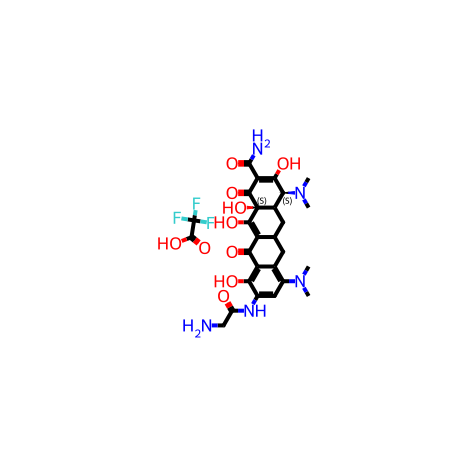 CN(C)c1cc(NC(=O)CN)c(O)c2c1CC1CC3[C@H](N(C)C)C(O)=C(C(N)=O)C(=O)[C@@]3(O)C(O)=C1C2=O.O=C(O)C(F)(F)F